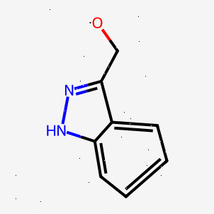 [O]Cc1n[nH]c2ccccc12